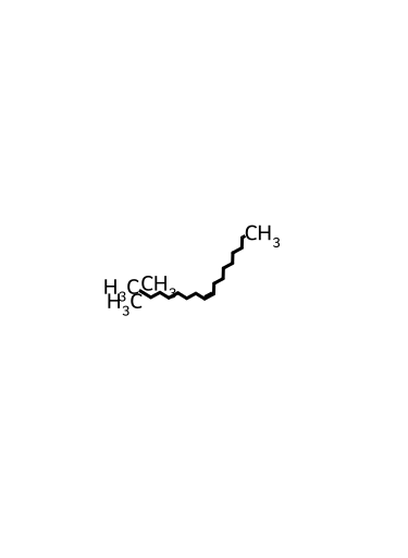 CCCCCCCC/C=C\CCCCCCC(C)(C)C